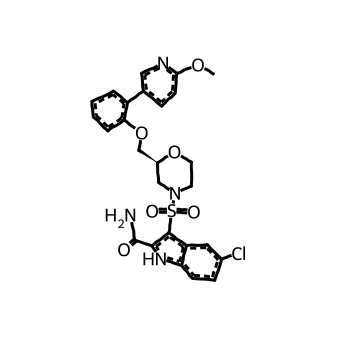 COc1ccc(-c2ccccc2OC[C@@H]2CN(S(=O)(=O)c3c(C(N)=O)[nH]c4ccc(Cl)cc34)CCO2)cn1